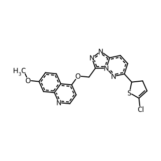 COc1ccc2c(OCc3nnc4ccc(C5CC=C(Cl)S5)nn34)ccnc2c1